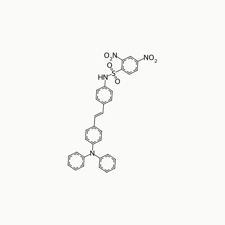 O=[N+]([O-])c1ccc(S(=O)(=O)Nc2ccc(C=Cc3ccc(N(c4ccccc4)c4ccccc4)cc3)cc2)c([N+](=O)[O-])c1